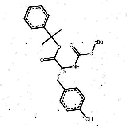 CC(C)(C)OC(=O)N[C@H](Cc1ccc(O)cc1)C(=O)OC(C)(C)c1ccccc1